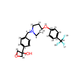 OC1(c2ccc(CN3CCC(Oc4ccc(C(F)(F)F)cc4)CC3)cc2)COC1